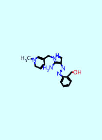 CN1C=C(Cn2ncc(N=Nc3ccccc3CO)c2N)C=CC1